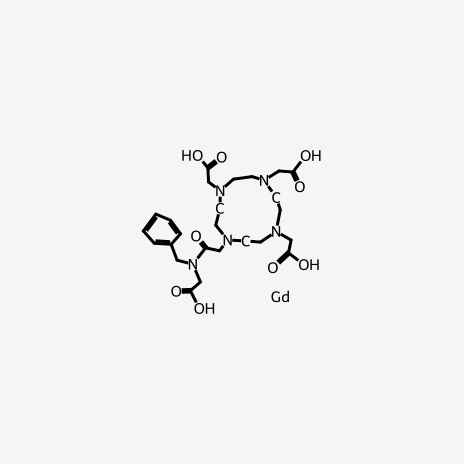 O=C(O)CN1CCN(CC(=O)O)CCN(CC(=O)N(CC(=O)O)Cc2ccccc2)CCN(CC(=O)O)CC1.[Gd]